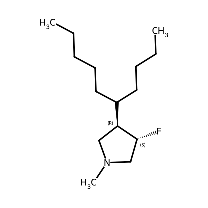 CCCCCC(CCCC)[C@@H]1CN(C)C[C@H]1F